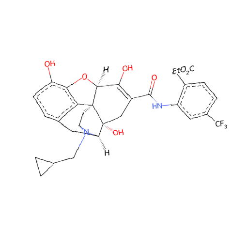 CCOC(=O)c1ccc(C(F)(F)F)cc1NC(=O)C1=C(O)[C@@H]2Oc3c(O)ccc4c3[C@@]23CCN(CC2CC2)[C@H](C4)[C@]3(O)C1